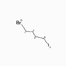 BrCCCCI